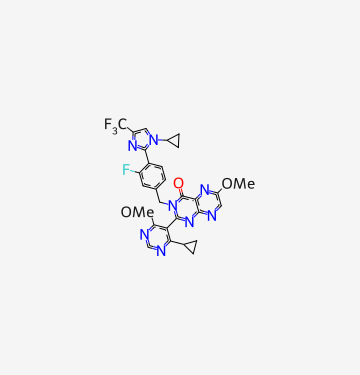 COc1cnc2nc(-c3c(OC)ncnc3C3CC3)n(Cc3ccc(-c4nc(C(F)(F)F)cn4C4CC4)c(F)c3)c(=O)c2n1